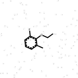 CCOc1c(C)cccc1F